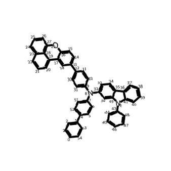 c1ccc(-c2ccc(N(c3ccc(-c4ccc5c(c4)-c4cccc6cccc(c46)O5)cc3)c3ccc4c5ccccc5n(-c5ccccc5)c4c3)cc2)cc1